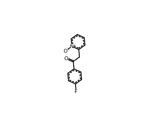 O=C(Cc1cccc[n+]1[O-])c1ccc(F)cc1